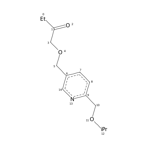 CCC(=O)COCc1ccc(COC(C)C)nc1